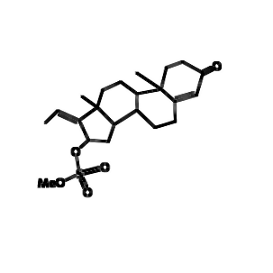 CC=C1C(OS(=O)(=O)OC)CC2C3CCC4=CC(=O)CCC4(C)C3CCC12C